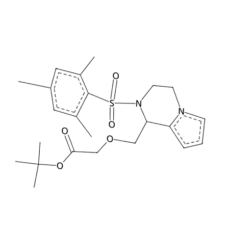 Cc1cc(C)c(S(=O)(=O)N2CCn3cccc3C2COCC(=O)OC(C)(C)C)c(C)c1